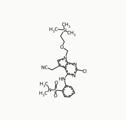 CN(C)S(=O)(=O)c1ccccc1Nc1nc(Cl)nc2c1c(CC#N)cn2COCC[Si](C)(C)C